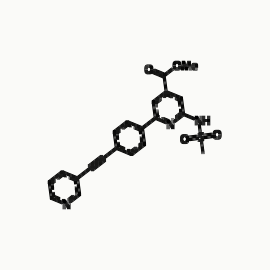 COC(=O)c1cc(NS(C)(=O)=O)nc(-c2ccc(C#Cc3cccnc3)cc2)c1